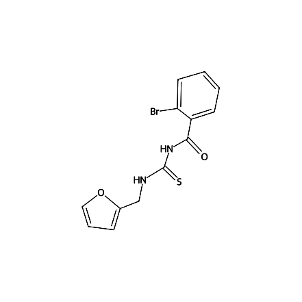 O=C(NC(=S)NCc1ccco1)c1ccccc1Br